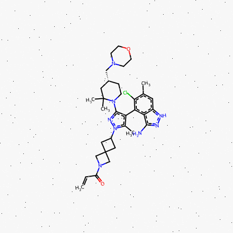 C=CC(=O)N1CC2(CC(n3nc(N4CC[C@@H](CN5CCOCC5)CC4(C)C)c(-c4c(Cl)c(C)cc5[nH]nc(N)c45)c3C)C2)C1